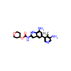 Cc1c(N)cncc1-c1cc(N)c2nnc(NC(=O)OC3CCOCC3)cc2c1